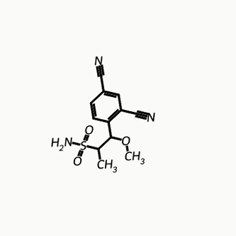 COC(c1ccc(C#N)cc1C#N)C(C)S(N)(=O)=O